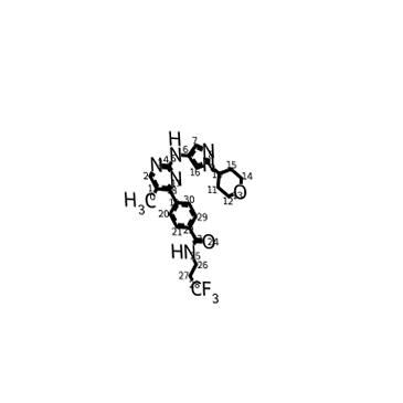 Cc1cnc(Nc2cnn(C3CCOCC3)c2)nc1-c1ccc(C(=O)NCCC(F)(F)F)cc1